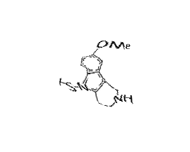 COc1ccc2c(c1)c1c(n2SI)CCNC1